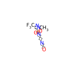 Cn1nc(C(F)(F)F)cc1S(=O)(=O)N1CC2(CC(N3CC4(COC4)C3)C2)C1